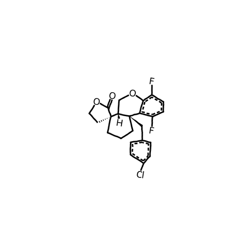 O=C1OCC[C@]12CCC[C@@]1(Cc3ccc(Cl)cc3)c3c(F)ccc(F)c3OC[C@@H]21